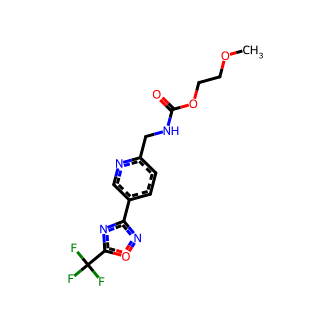 COCCOC(=O)NCc1ccc(-c2noc(C(F)(F)F)n2)cn1